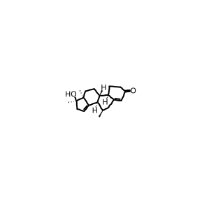 C[C@@H]1CC2=CC(=O)CC[C@@H]2[C@H]2CC[C@@]3(C)C(=CC[C@@]3(C)O)[C@@H]21